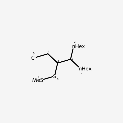 CCCCCCC(CCCCCC)C(CCl)SSC